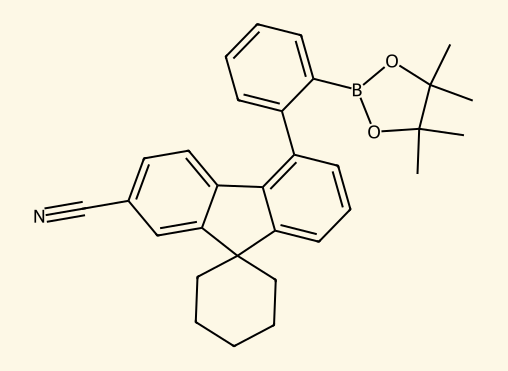 CC1(C)OB(c2ccccc2-c2cccc3c2-c2ccc(C#N)cc2C32CCCCC2)OC1(C)C